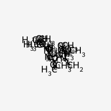 C=C/C=C(\N=C(/C)c1cc(OC(C)C)c2cnn(-c3cccc(CO[Si](C)(C)C(C)(C)C)n3)c2c1)[C@H](CCC)N[S@+]([O-])C(C)(C)C